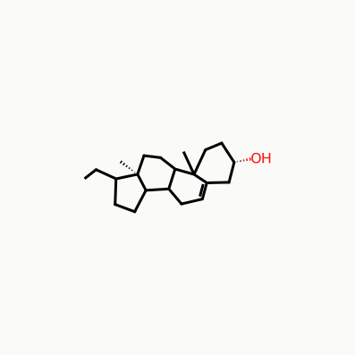 CCC1CCC2C3CC=C4C[C@@H](O)CCC4(C)C3CC[C@]12C